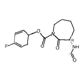 O=[C]N[C@H]1CCCCN(C(=O)OC2C=CC(F)=CC2)C1=O